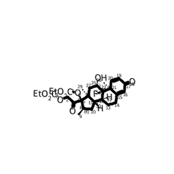 CCOC(=O)OCC(=O)[C@@]1(OC(=O)OCC)[C@H](C)C[C@H]2[C@@H]3CCC4=CC(=O)C=C[C@]4(C)[C@@]3(F)[C@@H](O)C[C@@]21C